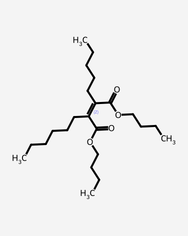 CCCCCC/C(C(=O)OCCCC)=C(\CCCCC)C(=O)OCCCC